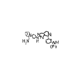 C=CC(=O)Nc1cccc(-c2nccc3cnc(Nc4ccc(N5CCOCC5CN)cc4)nc23)c1